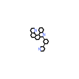 c1cncc(-c2cccc(-c3nc4ccccc4c4c3ccc3ccc5cccnc5c34)c2)c1